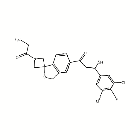 O=C(CC(S)c1cc(Cl)c(F)c(Cl)c1)c1ccc2c(c1)COC21CN(C(=O)CC(F)(F)F)C1